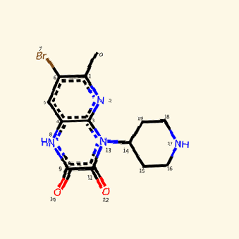 Cc1nc2c(cc1Br)[nH]c(=O)c(=O)n2C1CCNCC1